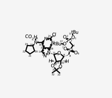 CC(C)(C)OP(=O)(CS(=O)(=O)C[C@H]1O[C@@H](n2ncc3c(N(C(=O)O)C4CCCC4)nc(Cl)nc32)[C@@H]2OC(C)(C)O[C@@H]21)OC(C)(C)C